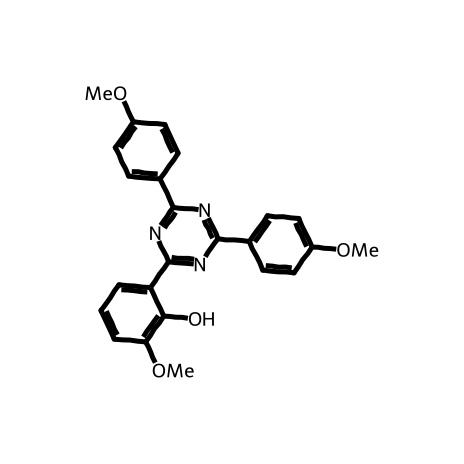 COc1ccc(-c2nc(-c3ccc(OC)cc3)nc(-c3cccc(OC)c3O)n2)cc1